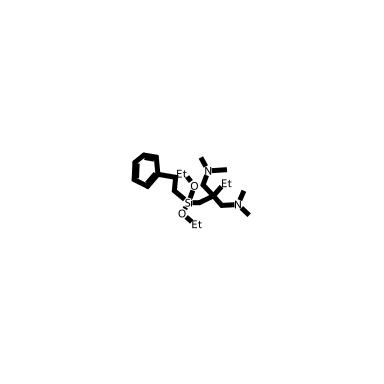 CCO[Si](CCc1ccccc1)(CC(CC)(CN(C)C)CN(C)C)OCC